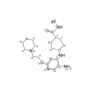 CC(C)NC(=O)C1CCC(Nc2cc(OCCN3CCCCC3)ncc2N)CC1